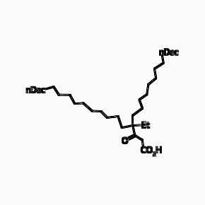 CCCCCCCCCCCCCCCCCCCCC(CC)(CCCCCCCCCCCCCCCCCC)C(=O)CC(=O)O